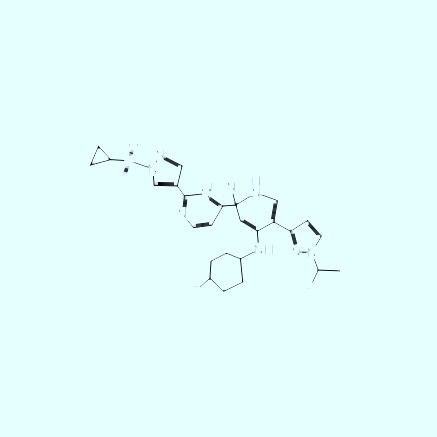 NC1(c2ccnc(-c3cnn(S(=O)(=O)C4CC4)c3)n2)C=C(NC2CCC(F)CC2)C(c2ccn(C(F)F)n2)=CN1